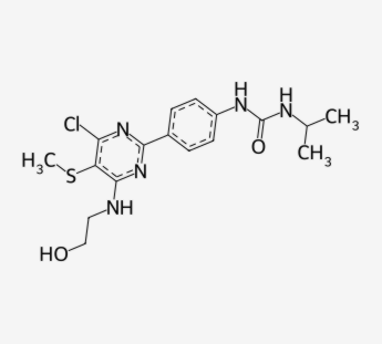 CSc1c(Cl)nc(-c2ccc(NC(=O)NC(C)C)cc2)nc1NCCO